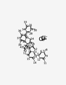 CC1=Cc2c(-c3cc(C)cc(C)c3)c(C)cc(C)c2[CH]1[Zr+2]1([CH]2C(C)=Cc3c(-c4cc(C)cc(C)c4)c(C)cc(C)c32)[CH2][CH2]1.[Cl-].[Cl-]